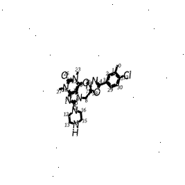 Cc1cc(-c2nnc(Cn3c(N4CCNCC4)nc4c3c(=O)n(C)c(=O)n4C)o2)ccc1Cl